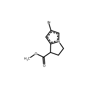 COC(=O)C1CCn2cc(Br)cc21